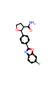 NC(=O)C1CCOC1c1ccc(-c2nc3ccc(F)cc3o2)cc1